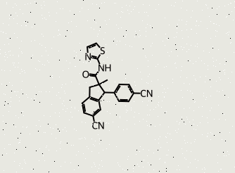 CC1(C(=O)Nc2nccs2)Cc2ccc(C#N)cc2C1c1ccc(C#N)cc1